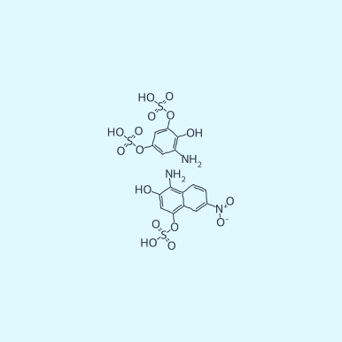 Nc1c(O)cc(OS(=O)(=O)O)c2cc([N+](=O)[O-])ccc12.Nc1cc(OS(=O)(=O)O)cc(OS(=O)(=O)O)c1O